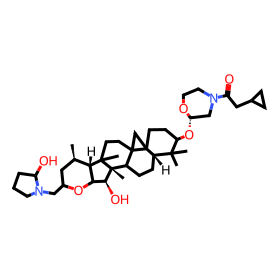 C[C@@H]1CC(CN2CCCC2O)OC2[C@H]1C1(C)CCC34CC35CCC(O[C@H]3CN(C(=O)CC6CC6)CCO3)C(C)(C)[C@@H]5CCC4[C@]1(C)[C@H]2O